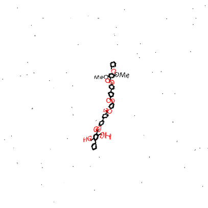 COc1cc(C(=O)Oc2ccc(-c3ccc(C(=O)Oc4ccc(OC(=O)c5ccc(-c6ccc(OC(=O)c7cc(CO)c(-c8ccccc8)cc7CO)cc6)cc5)cc4)cc3)cc2)c(OC)cc1OCc1ccccc1